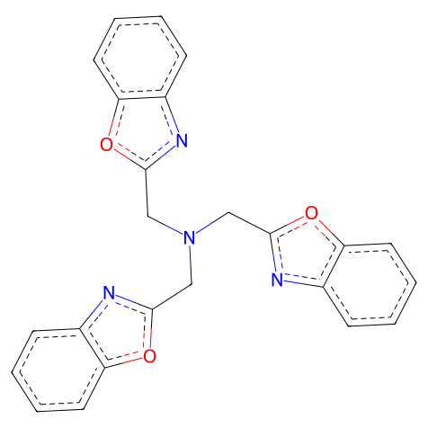 c1ccc2oc(CN(Cc3nc4ccccc4o3)Cc3nc4ccccc4o3)nc2c1